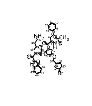 CS(=O)(=O)N[C@H](CCc1ccccc1)C(=O)N1C[C@H](OCC2=CCC(Br)S2)C[C@H]1C(=O)N[C@@H](CCCCN)C(=O)c1nc2ccccc2o1